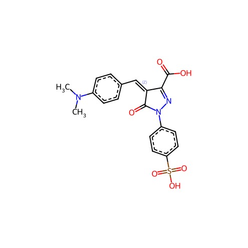 CN(C)c1ccc(/C=C2\C(=O)N(c3ccc(S(=O)(=O)O)cc3)N=C2C(=O)O)cc1